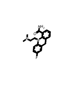 CN(C)CCN1c2ccc(F)cc2Cc2cccc(C(N)=O)c21